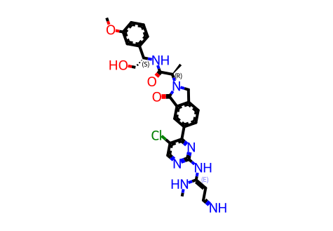 CN/C(=C\C=N)Nc1ncc(Cl)c(-c2ccc3c(c2)C(=O)N([C@H](C)C(=O)N[C@H](CO)c2cccc(OC)c2)C3)n1